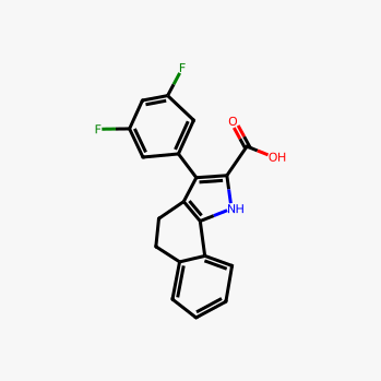 O=C(O)c1[nH]c2c(c1-c1cc(F)cc(F)c1)CCc1ccccc1-2